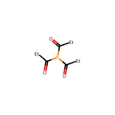 CCC(=O)P(C(=O)CC)C(=O)CC